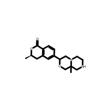 C[C@@H]1Cc2cc(C3CN4CCNCC4(C)CO3)ccc2C(=O)O1